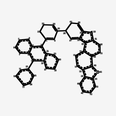 C1=C(c2c3ccccc3c(-c3ccccc3)c3ccccc23)CCC=C1C1C=c2c(sc3ccc4c(ccc5c6ccccc6oc54)c23)=CC1